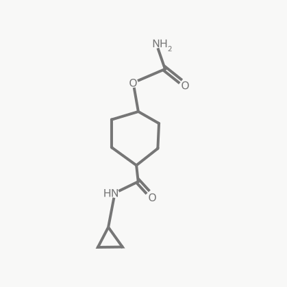 NC(=O)OC1CCC(C(=O)NC2CC2)CC1